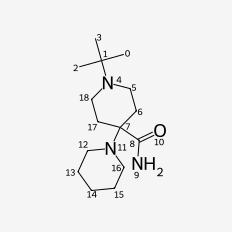 CC(C)(C)N1CCC(C(N)=O)(N2CCCCC2)CC1